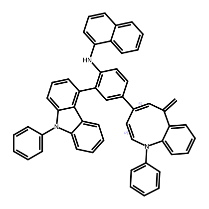 C=C1/C=C(c2ccc(Nc3cccc4ccccc34)c(-c3cccc4c3c3ccccc3n4-c3ccccc3)c2)\C=C/N(c2ccccc2)c2ccccc21